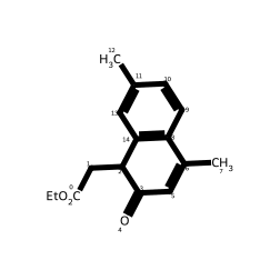 CCOC(=O)CC1C(=O)C=C(C)c2ccc(C)cc21